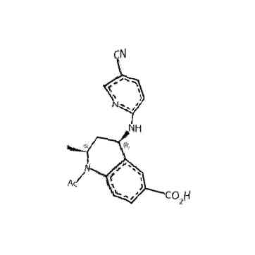 CC(=O)N1c2ccc(C(=O)O)cc2[C@H](Nc2ccc(C#N)cn2)C[C@@H]1C